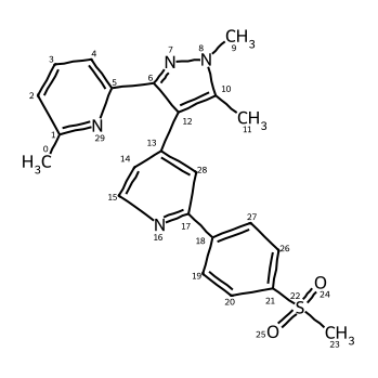 Cc1cccc(-c2nn(C)c(C)c2-c2ccnc(-c3ccc(S(C)(=O)=O)cc3)c2)n1